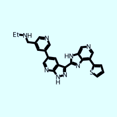 CCNCc1cncc(-c2cnc3[nH]nc(-c4nc5c(-c6cccs6)cncc5[nH]4)c3c2)c1